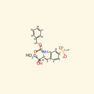 CS(=O)(=O)c1ccc(C[C@H](NC(=O)OCc2ccccc2)[C@@H](O)C(=O)O)cc1